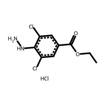 CCOC(=O)c1cc(Cl)c(NN)c(Cl)c1.Cl